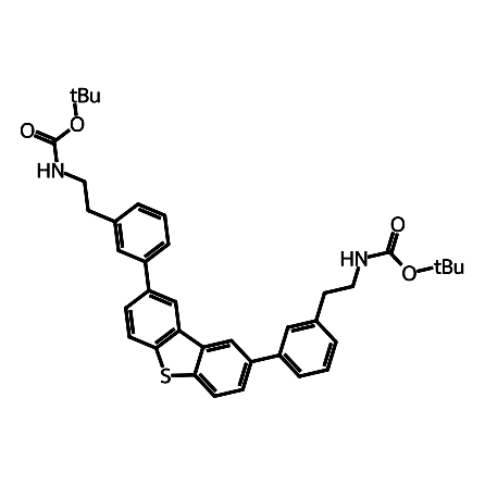 CC(C)(C)OC(=O)NCCc1cccc(-c2ccc3sc4ccc(-c5cccc(CCNC(=O)OC(C)(C)C)c5)cc4c3c2)c1